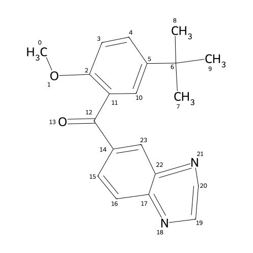 COc1ccc(C(C)(C)C)cc1C(=O)c1ccc2nccnc2c1